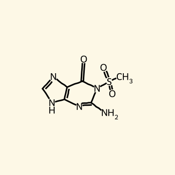 CS(=O)(=O)n1c(N)nc2[nH]cnc2c1=O